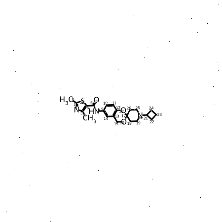 Cc1nc(C)c(C(=O)Nc2ccc3c(c2)COC2(CCN(C4CCC4)CC2)O3)s1